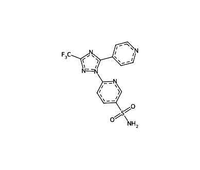 NS(=O)(=O)c1ccc(-n2nc(C(F)(F)F)nc2-c2ccncc2)nc1